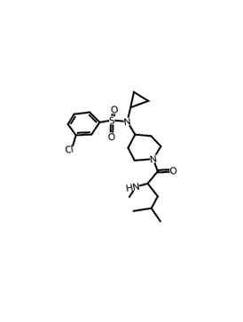 CNC(CC(C)C)C(=O)N1CCC(N(C2CC2)S(=O)(=O)c2cccc(Cl)c2)CC1